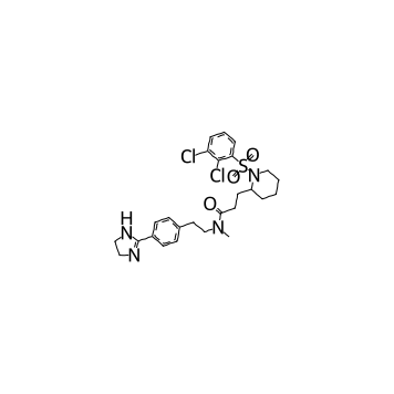 CN(CCc1ccc(C2=NCCN2)cc1)C(=O)CCC1CCCCN1S(=O)(=O)c1cccc(Cl)c1Cl